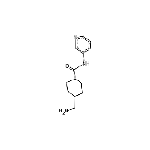 NCC1CCC(C(=O)Nc2cccnc2)CC1